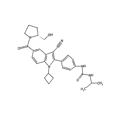 CC(C)NC(=O)Nc1ccc(-c2c(C#N)c3cc(C(=O)N4CCC[C@@H]4CO)ccc3n2C2CCC2)cc1